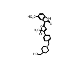 CC1(C)O/C(=C2/C(=O)Nc3ccc(C(=O)O)cc32)C=C1c1ccc(CN2CCC(CO)CC2)cc1